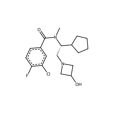 CN(C(=O)c1ccc(F)c(Cl)c1)[C@@H](CN1CC(O)C1)C1CCCC1